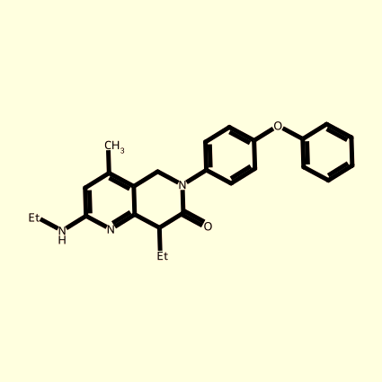 CCNc1cc(C)c2c(n1)C(CC)C(=O)N(c1ccc(Oc3ccccc3)cc1)C2